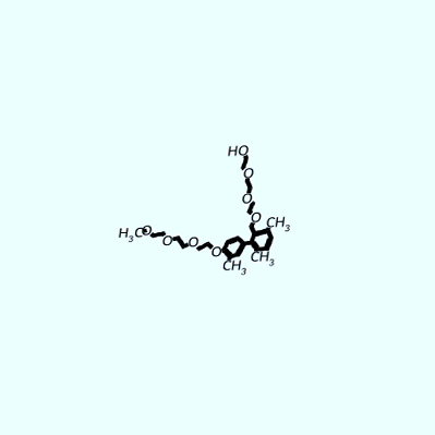 COCCOCCOCCOc1ccc(-c2c(C)ccc(C)c2COCCOCCOCCO)cc1C